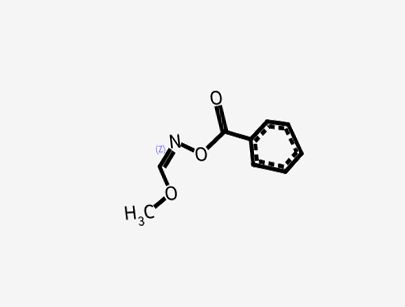 CO/C=N\OC(=O)c1ccccc1